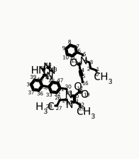 CCCCN(Cc1ccccc1)C(=O)C#CCOC(=O)c1c(CC)nc(CCC)n1Cc1ccc(-c2ccccc2-c2nnn[nH]2)cc1